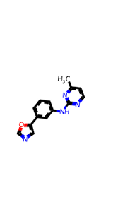 Cc1ccnc(Nc2cccc(-c3cnco3)c2)n1